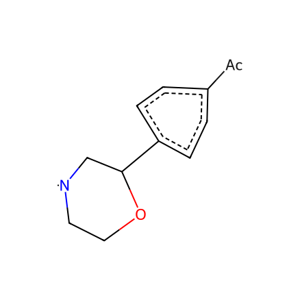 CC(=O)c1ccc(C2C[N]CCO2)cc1